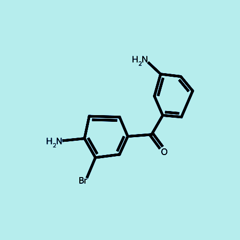 Nc1cccc(C(=O)c2ccc(N)c(Br)c2)c1